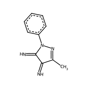 CC1=NN(c2ccccc2)C(=N)C1=N